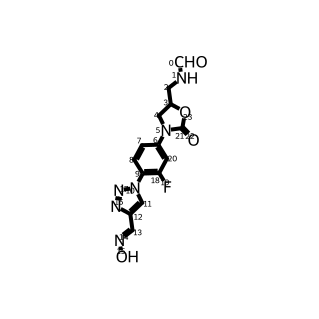 O=CNCC1CN(c2ccc(-n3cc(C=NO)nn3)c(F)c2)C(=O)O1